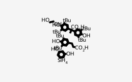 CC(C)(C)c1cc(C(C)(C(=O)O)c2cc(C(C)(C)C)c(O)c(C(C)(C)C)c2)cc(C(C)(C)C)c1O.CC(C)(C)c1cc(CCC(=O)O)cc(C(C)(C)C)c1O.OCCO.Oc1cccc(O)c1.[SiH4]